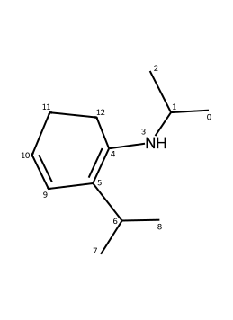 CC(C)NC1=C(C(C)C)C=CCC1